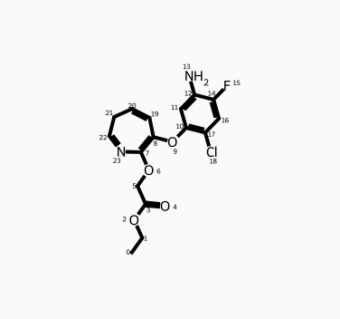 CCOC(=O)COC1=C(Oc2cc(N)c(F)cc2Cl)C=CCC=N1